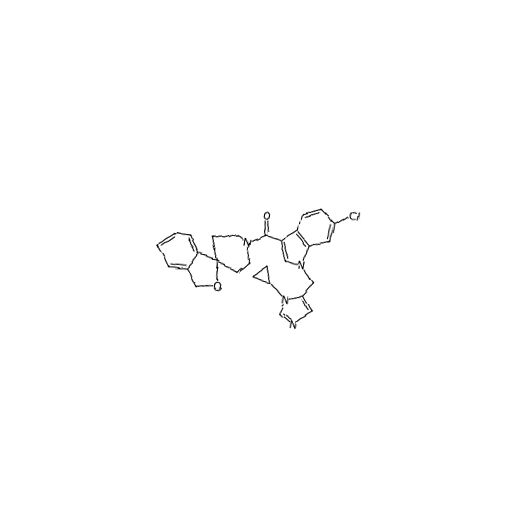 O=C(c1cn(Cc2cncn2C2CC2)c2cc(Cl)ccc12)N1CCC2(CC1)OCc1ccccc12